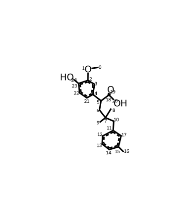 COc1cc(C(CC(C)(C)Cc2cccc(C)c2)C(=O)O)ccc1O